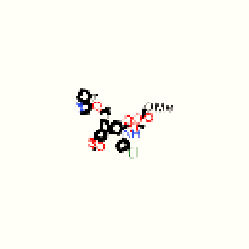 COCC(=O)OC(C)OC(=O)C1(Nc2cccc(Cl)c2)CCC2(CC1)c1cc3c(cc1C[C@@H]2C[C@@H](C)COc1ccnc2c1[C@H](C)CCC2)OCO3